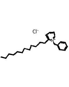 CCCCCCCCCCCCc1cccc[n+]1Cc1ccccc1.[Cl-]